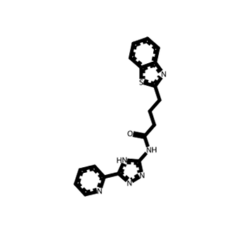 O=C(CCCc1nc2ccccc2s1)Nc1nnc(-c2ccccn2)[nH]1